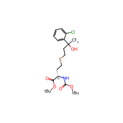 CC(C)(C)OC(=O)N[C@@H](CCSCCC(O)(c1ccccc1Cl)C(F)(F)F)C(=O)OC(C)(C)C